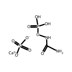 NC(=O)NOP(=O)(O)O.O=S(=O)([O-])[O-].[Ca+2]